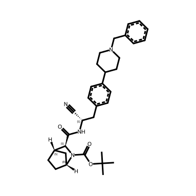 CC(C)(C)OC(=O)N1[C@@H]2CC[C@@H](C2)[C@H]1C(=O)N[C@H](C#N)Cc1ccc(C2CCN(Cc3ccccc3)CC2)cc1